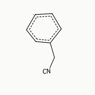 [C-]#[N+]Cc1cc[c]cc1